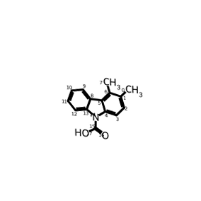 Cc1ccc2c(c1C)c1ccccc1n2C(=O)O